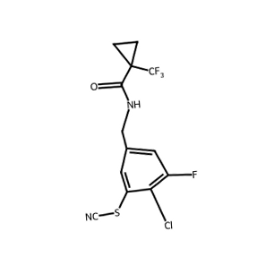 N#CSc1cc(CNC(=O)C2(C(F)(F)F)CC2)cc(F)c1Cl